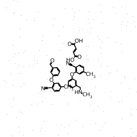 CNCc1cccc(Oc2cc(C)ccc2C#N)c1.Cc1ccc(C#N)c(Oc2cccc(C=O)c2)c1.O=C(O)/C=C/C(=O)O